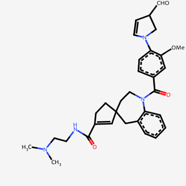 COc1cc(C(=O)N2CCC3(C=C(C(=O)NCCN(C)C)CC3)Cc3ccccc32)ccc1N1C=CC(C=O)C1